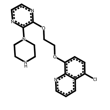 Clc1ccc(OCCOc2nccnc2N2CCNCC2)c2ncccc12